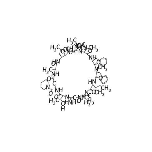 CC[C@H](C)[C@@H]1NC(=O)[C@H](Cc2ccccc2)N(C)C(=O)[C@H](Cc2ccccc2)NC(=O)[C@H](C(C)C)N(C)C(=N)[C@H](CC(C)C)N(C)C(=O)[C@H](CC(C)C)NC(=O)[C@H](C)NC(=O)C[C@@H](C(=O)N2CCCCC2)NC(=O)[C@H]([C@@H](C)O)NC(=N)CN[C@@](C)(C=O)N(C)C1=O